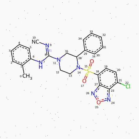 Cc1ccccc1N/C(=N\C#N)N1CCN(S(=O)(=O)c2ccc(Cl)c3nonc23)C(c2ccccc2)C1